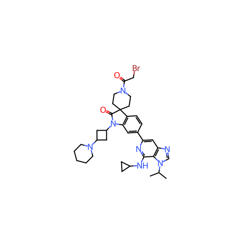 CC(C)n1cnc2cc(-c3ccc4c(c3)N(C3CC(N5CCCCC5)C3)C(=O)C43CCN(C(=O)CBr)CC3)nc(NC3CC3)c21